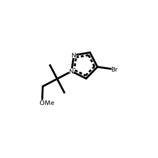 COCC(C)(C)n1cc(Br)cn1